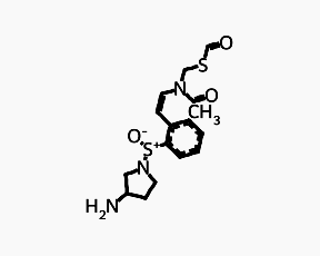 Cc1cccc([S+]([O-])N2CCC(N)C2)c1/C=C\N(C=O)CSC=O